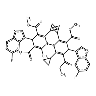 COC(=O)C1=C(C2CC2)N(N2C(C3CC3)=C(C(=O)OC)C(c3csc4ccc(F)cc34)C(C(=O)OC)=C2C2CC2)C(C)=C(C(C)=O)C1c1csc2ccc(F)cc12